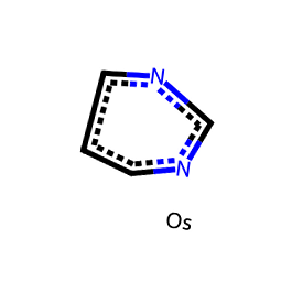 [Os].c1cncnc1